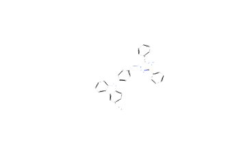 CN1C(c2ccccc2)=NN(Cc2ccc(-n3c4ccccc4c4cc(C#N)ccc43)cc2)C1c1ccccc1